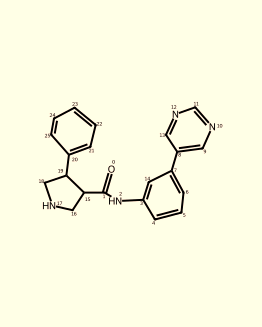 O=C(Nc1cccc(-c2cncnc2)c1)C1CNCC1c1ccccc1